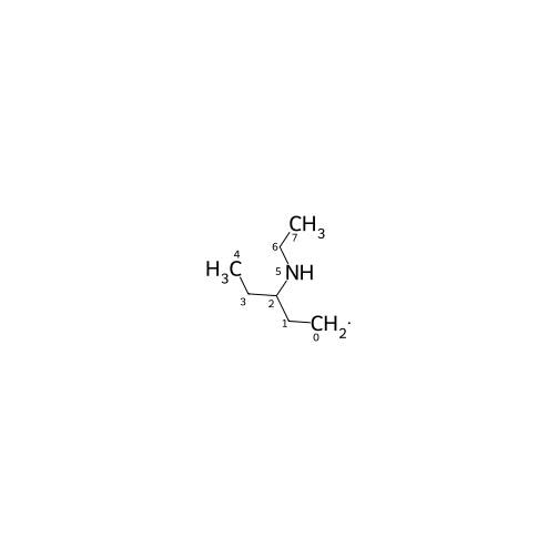 [CH2]CC(CC)NCC